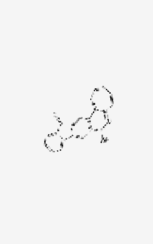 O=C(O)c1cc2c(cc1C1=CC=CC=CN1)C(=O)c1ccccc1-2